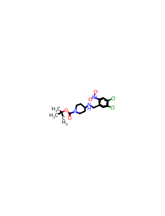 CC(C)(C)OC(=O)N1CCC(NCc2cc(Cl)c(Cl)cc2[N+](=O)[O-])CC1